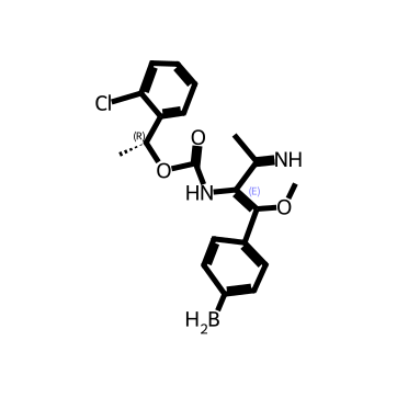 Bc1ccc(/C(OC)=C(\NC(=O)O[C@H](C)c2ccccc2Cl)C(C)=N)cc1